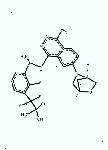 Cc1nnc(N[C@H](N)c2cccc(C(F)(F)C(C)(C)O)c2F)c2cc(N3C[C@H]4C[C@@H]3CO4)ccc12